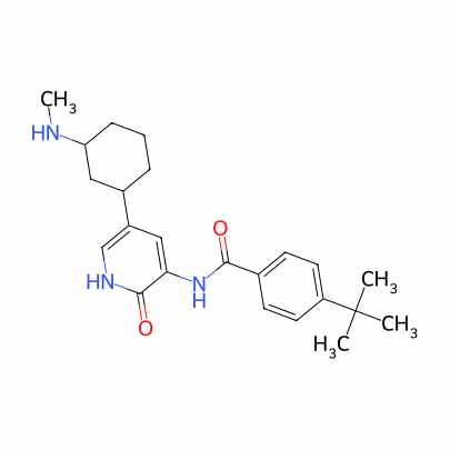 CNC1CCCC(c2c[nH]c(=O)c(NC(=O)c3ccc(C(C)(C)C)cc3)c2)C1